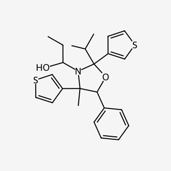 CCC(O)N1C(C)(c2ccsc2)C(c2ccccc2)OC1(c1ccsc1)C(C)C